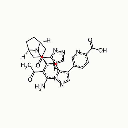 CC(=O)c1c([C@H]2C[C@H]3CC[C@@H](C2)N3C(=O)c2nnc[nH]2)nc2c(-c3ccc(C(=O)O)nc3)cnn2c1N